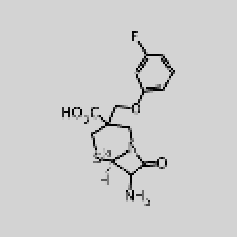 NC1C(=O)N2CC(COc3cccc(F)c3)(C(=O)O)CS[C@H]12